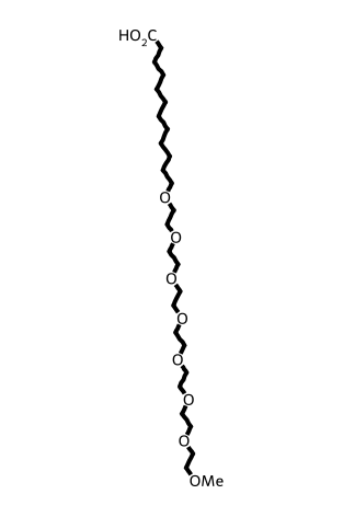 COCCOCCOCCOCCOCCOCCOCCOCCCCCCCCCCCC(=O)O